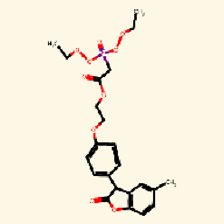 CCOOP(=O)(CC(=O)OCCOc1ccc(C2C(=O)Oc3ccc(C)cc32)cc1)OOCC